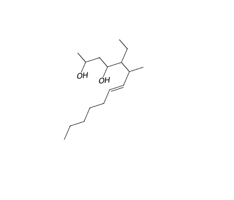 CCCCCC=CC(C)C(CC)C(O)CC(C)O